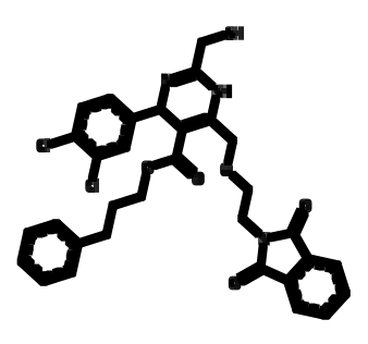 O=C(OCCCc1ccccc1)C1=C(COCCN2C(=O)c3ccccc3C2=O)NC(CS)=NC1c1ccc(Cl)c(Cl)c1